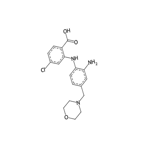 Nc1cc(CN2CCOCC2)ccc1Nc1cc(Cl)ccc1C(=O)O